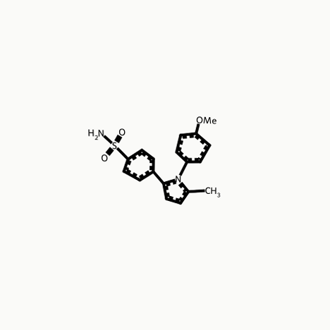 COc1ccc(-n2c(C)ccc2-c2ccc(S(N)(=O)=O)cc2)cc1